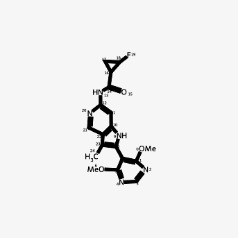 COc1ncnc(OC)c1-c1[nH]c2cc(NC(=O)C3CC3F)ncc2c1C